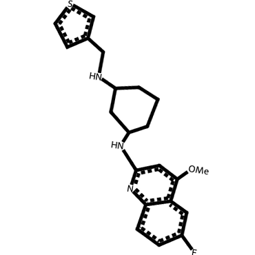 COc1cc(NC2CCCC(NCc3ccsc3)C2)nc2ccc(F)cc12